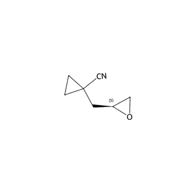 N#CC1(C[C@H]2CO2)CC1